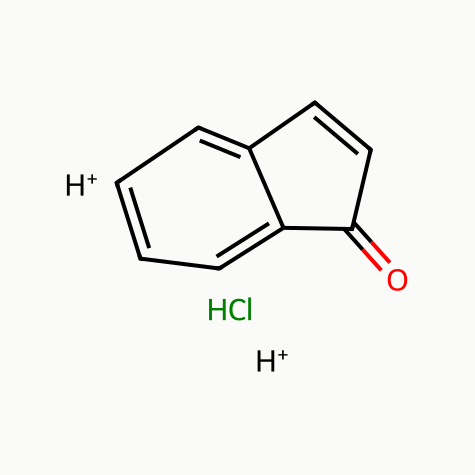 Cl.O=C1C=Cc2ccccc21.[H+].[H+]